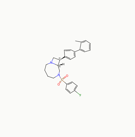 Cc1ccccc1-c1ccc([C@@H]2CN3CCCCN(S(=O)(=O)c4ccc(F)cc4)C[C@@H]23)cc1